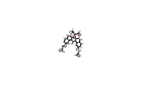 CC(c1c(OCC2CO2)ccc2ccc(OCC3CO3)cc12)c1c(OCC2CO2)ccc2ccc(OCC3CO3)cc12